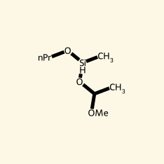 CCCO[SiH](C)OC(C)OC